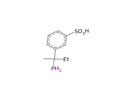 CCC(C)(P)c1cccc(S(=O)(=O)O)c1